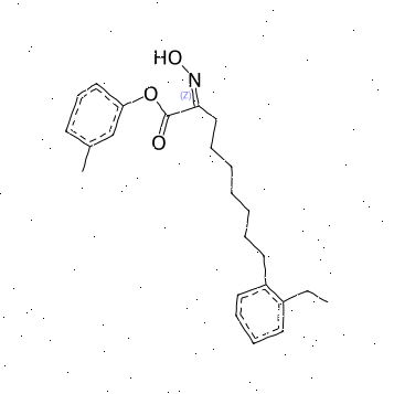 CCc1ccccc1CCCCCCC/C(=N/O)C(=O)Oc1cccc(C)c1